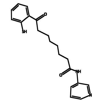 O=C(CCCCCCC(=O)c1ccccc1S)Nc1cccnc1